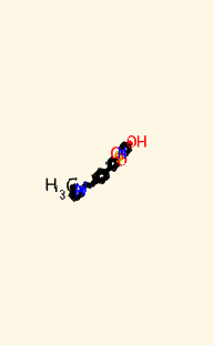 CC1CCCN1CCc1ccc(-c2ccc(S(=O)(=O)N3CCC(O)CC3)cc2)cc1